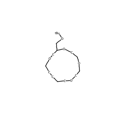 CC(C)(C)OCC1COCCCCCOCCOCCO1